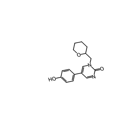 O=c1ncc(-c2ccc(O)cc2)cn1CC1CCCCO1